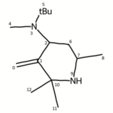 C=C1C(N(C)C(C)(C)C)CC(C)NC1(C)C